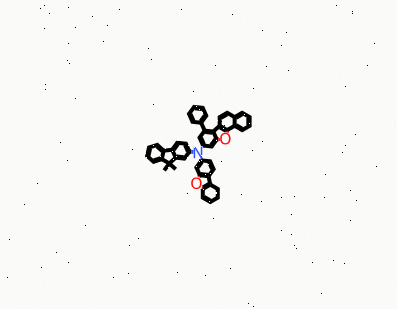 CC1(C)c2ccccc2-c2ccc(N(c3ccc4c5c(oc4c3)C=CCC5)c3cc(-c4ccccc4)c4c(c3)oc3c5ccccc5ccc34)cc21